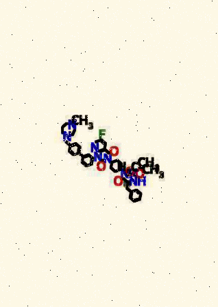 CN1CCCN(Cc2ccc(-c3cccc(-n4c(=O)n([C@H]5CC[C@@H](NC(=O)[C@H](Cc6ccccc6)NC(=O)OC(C)(C)C)CC5)c(=O)c5cc(F)cnc54)c3)cc2)CC1